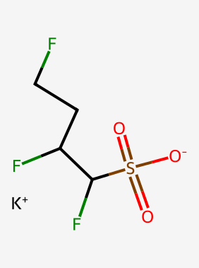 O=S(=O)([O-])C(F)C(F)CCF.[K+]